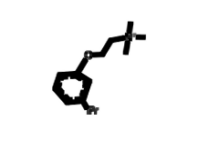 CC(C)c1cccc(OCC[N+](C)(C)C)c1